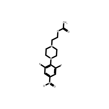 CC(=O)OCCN1CCN(c2c(F)cc([N+](=O)[O-])cc2F)CC1